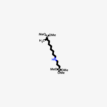 CO[SiH](OC)C(C)CCCCCCCNCCC[Si](OC)(OC)OC